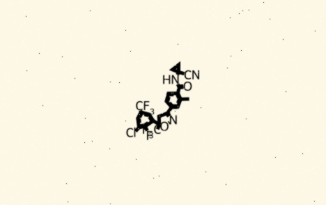 Cc1cc(C2=NOC(c3cc(C(F)(F)F)cc(Cl)c3F)(C(F)(F)F)C2)ccc1C(=O)NC1(C#N)CC1